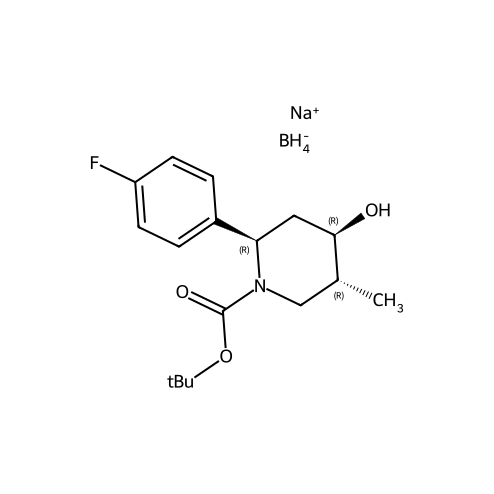 C[C@@H]1CN(C(=O)OC(C)(C)C)[C@@H](c2ccc(F)cc2)C[C@H]1O.[BH4-].[Na+]